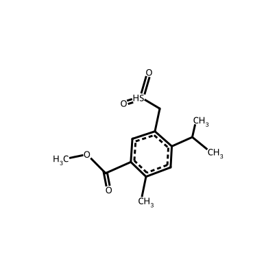 COC(=O)c1cc(C[SH](=O)=O)c(C(C)C)cc1C